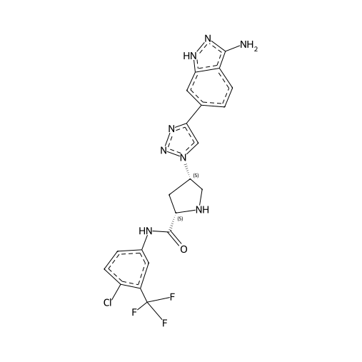 Nc1n[nH]c2cc(-c3cn([C@@H]4CN[C@H](C(=O)Nc5ccc(Cl)c(C(F)(F)F)c5)C4)nn3)ccc12